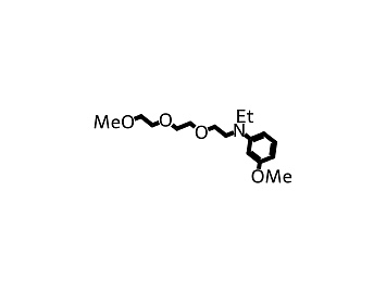 CCN(CCOCCOCCOC)c1cccc(OC)c1